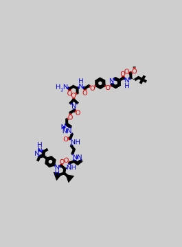 COC(=O)[C@H](CCC(C)(C)C)NC(=O)c1ccc(Oc2cccc(OCC(=O)NC(COC3CN(C(=O)COCc4cn(CC(=O)NCCCn5nccc5C(=O)N[C@H](C(=O)Nc5ccc(-c6c(C)n[nH]c6C)cc5)C(C5CC5)C5CC5)nn4)C3)CC(N)=O)c2)nc1